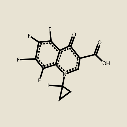 O=C(O)c1cn(C2(I)CC2)c2c(F)c(F)c(F)c(F)c2c1=O